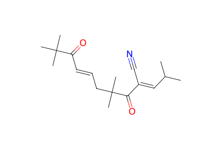 CC(C)/C=C(\C#N)C(=O)C(C)(C)C/C=C/C(=O)C(C)(C)C